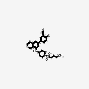 CCCCS(=O)(=O)N1CCC(Nc2cc(-c3ccc(F)c(C#N)c3)cc3ccncc23)CC1